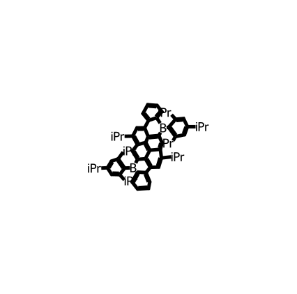 CC(C)c1cc(C(C)C)c(B2c3ccccc3-c3cc(C(C)C)c4cc5c6c(cc(C(C)C)c7cc2c3c4c76)-c2ccccc2B5c2c(C(C)C)cc(C(C)C)cc2C(C)C)c(C(C)C)c1